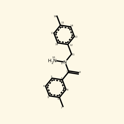 C=C(c1cccc(C)c1)N(N)Cc1ccc(C)cc1